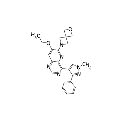 CCOc1cc2ncnc(-c3cn(C)nc3-c3ccccc3)c2nc1N1CC2(COC2)C1